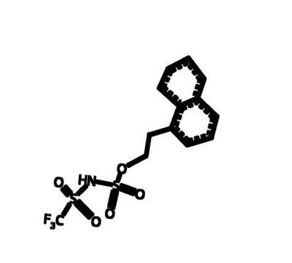 O=S(=O)(NS(=O)(=O)C(F)(F)F)OCCc1cccc2ccccc12